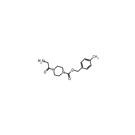 Cc1ccc(COC(=O)N2CCN(C(=O)CN)CC2)cc1